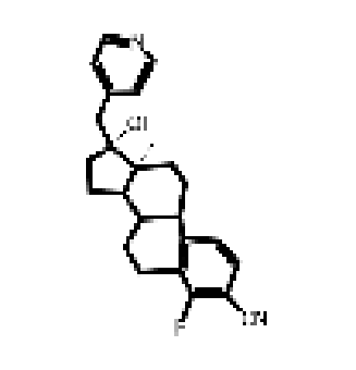 C[C@]12CCC3c4ccc(C#N)c(F)c4CCC3C1CC[C@@]2(O)Cc1ccncc1